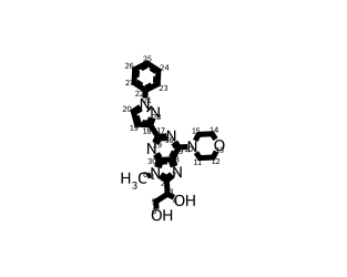 Cn1c(C(O)CO)nc2c(N3CCOCC3)nc(-c3ccn(-c4ccccc4)n3)nc21